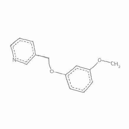 COc1cccc(OCc2cccnc2)c1